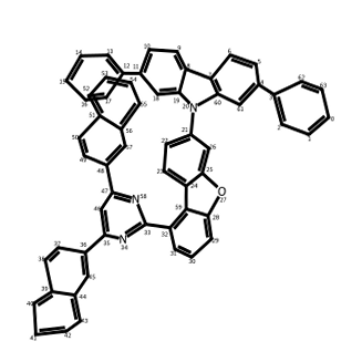 c1ccc(-c2ccc3c4ccc(-c5ccccc5)cc4n(-c4ccc5c(c4)oc4cccc(-c6nc(-c7ccc8ccccc8c7)cc(-c7ccc8ccccc8c7)n6)c45)c3c2)cc1